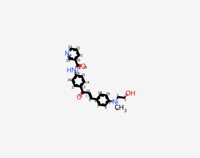 CN(CCO)c1ccc(/C=C/C(=O)c2ccc(NC(=O)c3cccnc3)cc2)cc1